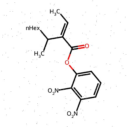 C/C=C(/C(=O)Oc1cccc([N+](=O)[O-])c1[N+](=O)[O-])C(C)CCCCCC